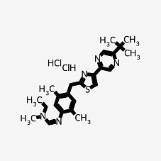 CCN(C)/C=N\c1cc(C)c(Cc2nc(-c3cnc(C(C)(C)C)cn3)cs2)cc1C.Cl.Cl